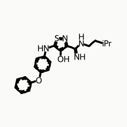 CC(C)CCNC(=N)c1nsc(Nc2ccc(Oc3ccccc3)cc2)c1O